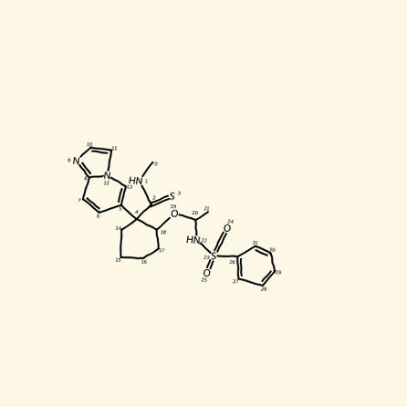 CNC(=S)C1(c2ccc3nccn3c2)CCCCC1OC(C)NS(=O)(=O)c1ccccc1